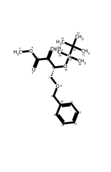 C=C(C(=O)OC)[C@@H](COCc1ccccc1)O[Si](C)(C)C(C)(C)C